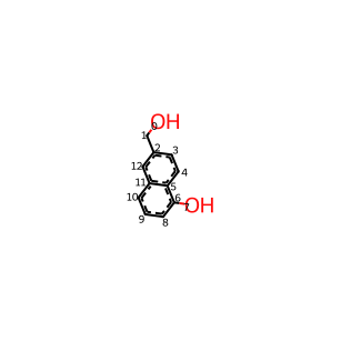 OCc1ccc2c(O)cccc2c1